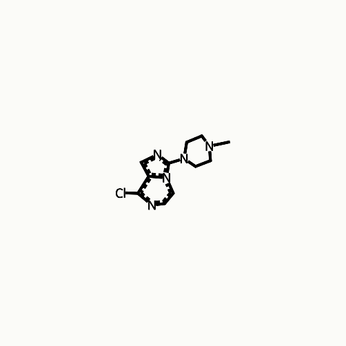 CN1CCN(c2ncc3c(Cl)nccn23)CC1